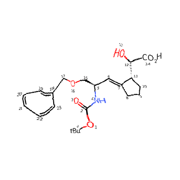 CC(C)(C)OC(=O)N[C@H](/C=C1\CCC[C@H]1C(O)C(=O)O)COCc1ccccc1